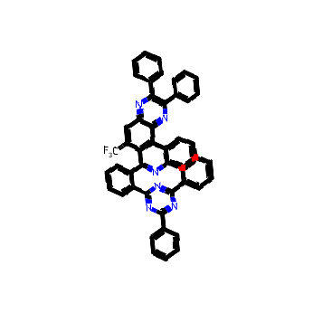 FC(F)(F)c1cc2nc(-c3ccccc3)c(-c3ccccc3)nc2c2c1c(-c1ccccc1-c1nc(-c3ccccc3)nc(-c3ccccc3)n1)nc1ccccc12